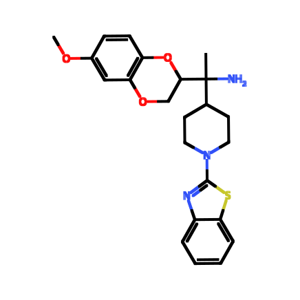 COc1ccc2c(c1)OCC(C(C)(N)C1CCN(c3nc4ccccc4s3)CC1)O2